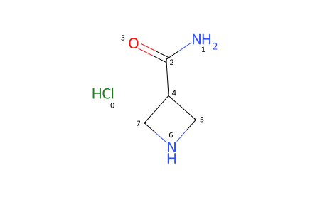 Cl.NC(=O)C1CNC1